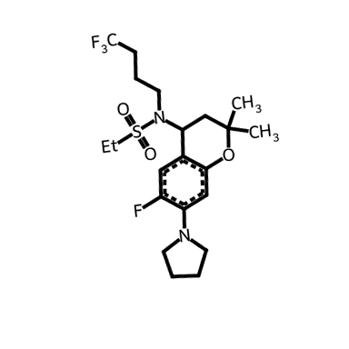 CCS(=O)(=O)N(CCCC(F)(F)F)C1CC(C)(C)Oc2cc(N3CCCC3)c(F)cc21